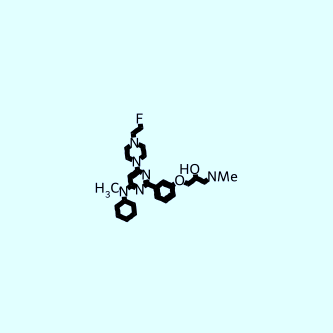 CNCC(O)COc1cccc(-c2nc(N3CCN(CCF)CC3)cc(N(C)C3CCCCC3)n2)c1